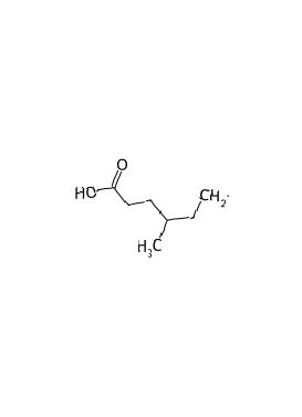 [CH2]CC(C)CCC(=O)O